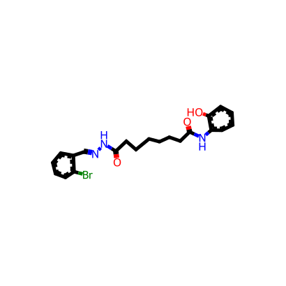 O=C(CCCCCCC(=O)Nc1ccccc1O)NN=Cc1ccccc1Br